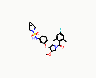 CO[C@@H]1CN(C(=O)c2c(C)cc(F)cc2C)C[C@H]1Oc1cccc(NS(=O)(=O)N2CC3CC3C2)c1